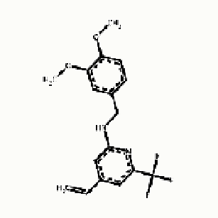 C=Cc1cc(NCc2ccc(OC)c(OC)c2)nc(C(F)(F)F)c1